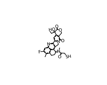 CC[C@@]1(O)C(=O)OCc2c1cc1n(c2=O)Cc2c-1nc1cc(F)c(C)c3c1c2[C@@H](N(C)C(=O)CS)CC3